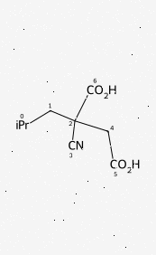 CC(C)CC(C#N)(CC(=O)O)C(=O)O